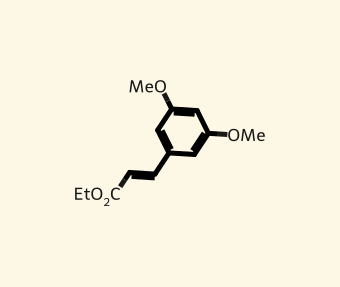 CCOC(=O)/C=C/c1cc(OC)cc(OC)c1